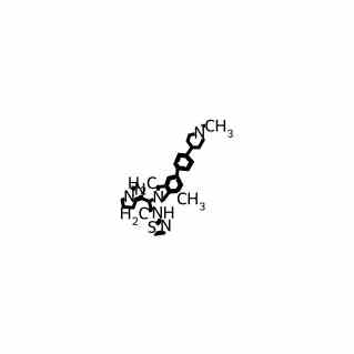 C=C(Nc1nccs1)C(c1ncn2c1CCC2)N1Cc2c(C)cc(-c3ccc(C4CCN(CC)CC4)cc3)cc2C1=C